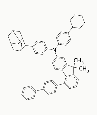 CC1(C)c2cc(N(c3ccc(C4CCCCC4)cc3)c3ccc(C4C5CC6CC(C5)CC4C6)cc3)ccc2-c2c(-c3ccc(-c4ccccc4)cc3)cccc21